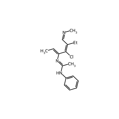 C/C=C(\N=C(/C)Nc1ccccc1)C(/Cl)=C(\C=N/C)CC